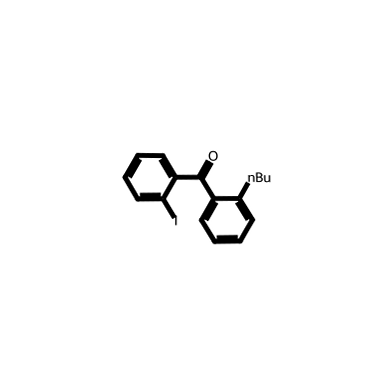 CCCCc1ccccc1C(=O)c1ccccc1I